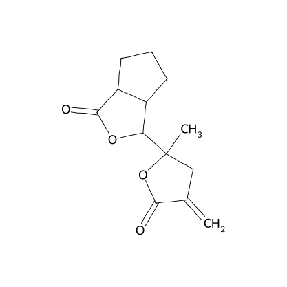 C=C1CC(C)(C2OC(=O)C3CCCC32)OC1=O